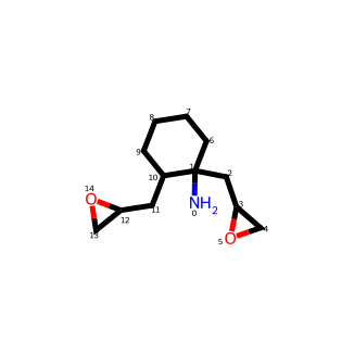 NC1(CC2CO2)CCCCC1CC1CO1